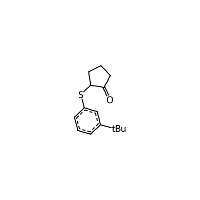 CC(C)(C)c1cccc(SC2CCCC2=O)c1